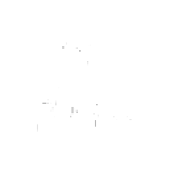 CC(=O)ON1C(C)(C)C(CO[N+](=O)[O-])CC(CO[N+](=O)[O-])C1(C)C